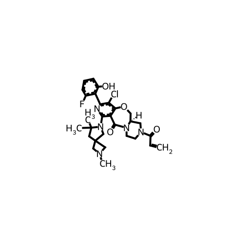 C=CC(=O)N1CCN2C(=O)c3c(N4CC5(CN(C)C5)CC4(C)C)nc(-c4c(O)cccc4F)c(Cl)c3OC[C@H]2C1